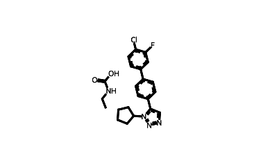 CCNC(=O)O.Fc1cc(-c2ccc(-c3cnnn3C3CCCC3)cc2)ccc1Cl